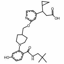 CC(C)(C)CNC(=O)c1ccc(O)cc1N1CCC(COc2cc(C(CC(=O)O)C3CC3)ccn2)CC1